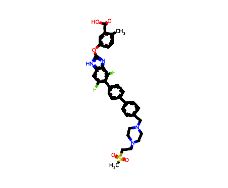 Cc1ccc(Oc2nc3c(F)c(-c4ccc(-c5ccc(CN6CCN(CCS(C)(=O)=O)CC6)cc5)cc4)c(F)cc3[nH]2)cc1C(=O)O